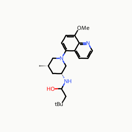 COc1ccc(N2C[C@@H](C)C[C@@H](NC(O)CC(C)(C)C)C2)c2cccnc12